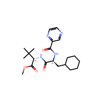 COC(=O)[C@@H](NC(=O)[C@H](CC1CCCCC1)NC(=O)c1cnccn1)C(C)(C)C